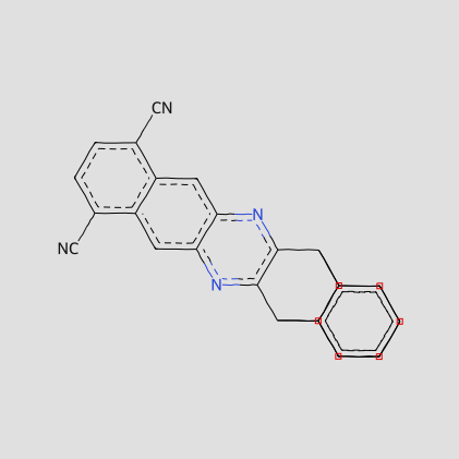 N#Cc1ccc(C#N)c2cc3nc4c(nc3cc12)C1c2ccccc2C4c2ccccc21